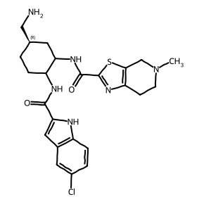 CN1CCc2nc(C(=O)NC3C[C@H](CN)CCC3NC(=O)c3cc4cc(Cl)ccc4[nH]3)sc2C1